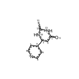 O=c1cc(-c2ccncc2)[nH]c(=S)[nH]1